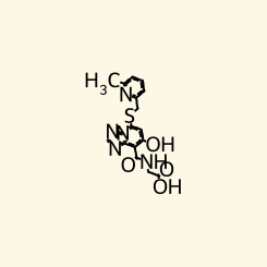 Cc1cccc(CSc2cc(O)c(C(=O)NCC(=O)O)c3ncnn23)n1